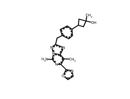 Cc1c(-c2ncco2)nc(N)n2nc(Cc3ccc(C4CC(C)(O)C4)cc3)nc12